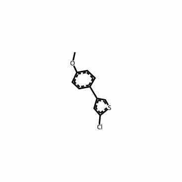 COc1ccc(-c2csc(Cl)c2)cc1